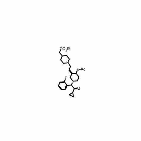 CCOC(=O)CC1CCN(C/C=C2/CN(C(C(=O)C3CC3)c3ccccc3F)CCC2SC(C)=O)CC1